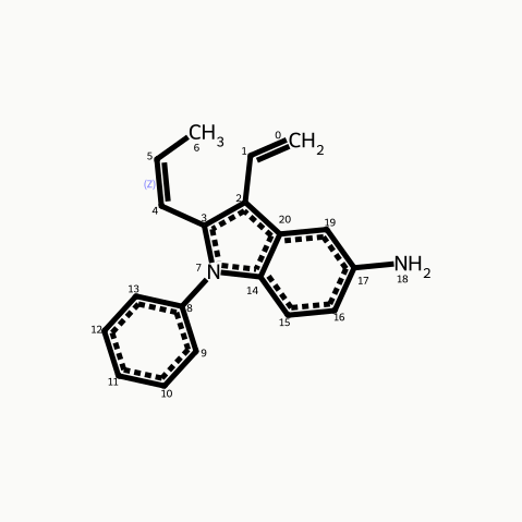 C=Cc1c(/C=C\C)n(-c2ccccc2)c2ccc(N)cc12